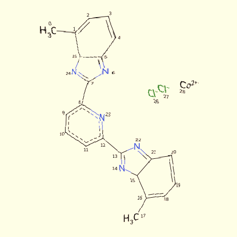 CC1=CC=CC2=NC(c3cccc(C4=NC5C(C)=CC=CC5=N4)n3)=NC12.[Cl-].[Cl-].[Co+2]